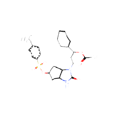 CC(=O)OC(CCN1C(=O)NC2CC(OS(=O)(=O)c3ccc(C)cc3)CC21)C1CCCCC1